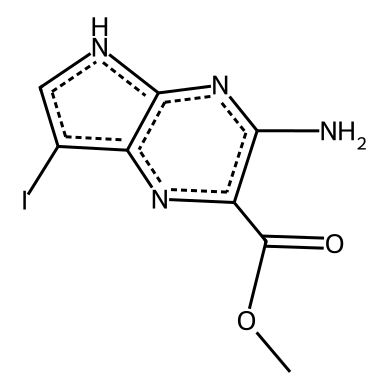 COC(=O)c1nc2c(I)c[nH]c2nc1N